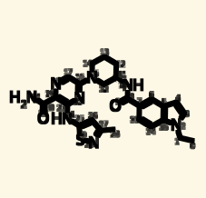 CCn1ccc2cc(C(=O)N[C@@H]3CCCN(c4cnc(C(N)=O)c(Nc5cc(C)ns5)n4)C3)ccc21